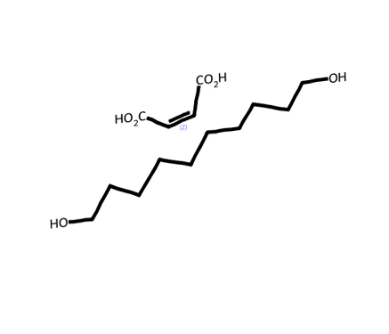 O=C(O)/C=C\C(=O)O.OCCCCCCCCCCO